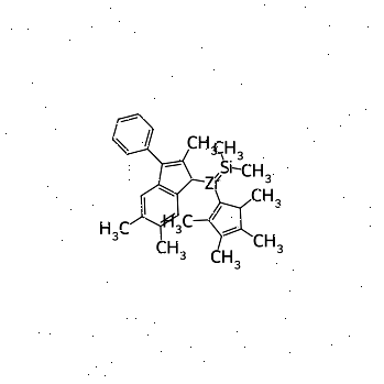 CC1=C(C)C(C)[C]([Zr]([CH]2C(C)=C(c3ccccc3)c3cc(C)c(C)cc32)=[Si](C)C)=C1C